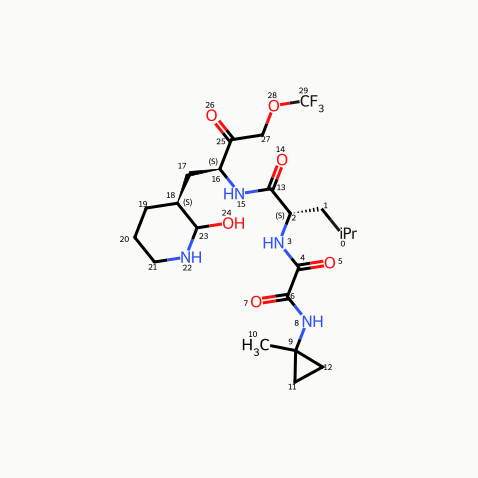 CC(C)C[C@H](NC(=O)C(=O)NC1(C)CC1)C(=O)N[C@@H](C[C@@H]1CCCNC1O)C(=O)COC(F)(F)F